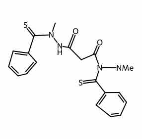 CNN(C(=O)CC(=O)NN(C)C(=S)c1ccccc1)C(=S)c1ccccc1